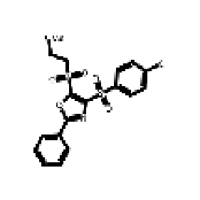 COCCS(=O)(=O)c1oc(-c2ccccc2)nc1S(=O)(=O)c1ccc(Cl)cc1